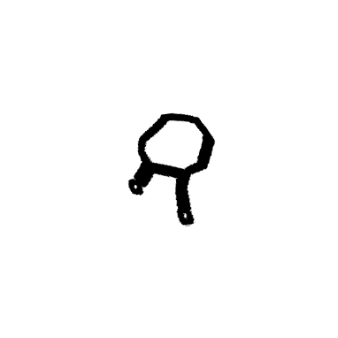 O=C1C=CCCCC1=O